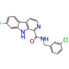 O=C(NCc1cccc(Cl)c1)c1nccc2c1[nH]c1cc(F)ccc12